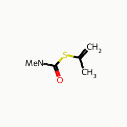 C=C(C)SC(=O)NC